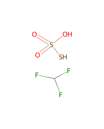 FC(F)F.O=S(=O)(O)S